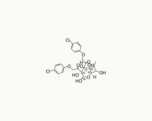 CC1C(O)[C@H]2O[C@@H](O)[C@@](O)(C(=O)COc3ccc(Cl)cc3)[C@](O)(C(=O)COc3ccc(Cl)cc3)[C@@]12O